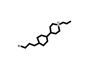 CCC[SiH]1CCC(C2CCC(CCCBr)CC2)CC1